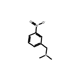 CN(C)Cc1cc[c]c([N+](=O)[O-])c1